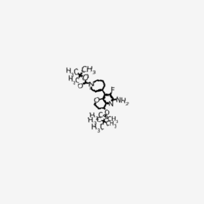 CC(C)(C)OC(=O)N1CC=C(c2c(F)c(N)nc3c2OCCC3O[Si](C)(C)C(C)(C)C)CCC1